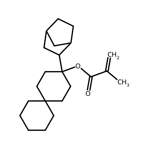 C=C(C)C(=O)OC1(C2CC3CCC2C3)CCC2(CCCCC2)CC1